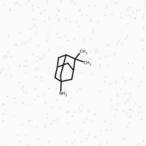 CC1(C)C2CC3CC1CC(N)(C3)C2